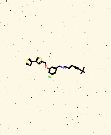 CC(C)(C)C#CC=CCNCc1cccc(OCc2cc(-c3ccsc3)cs2)c1.Cl